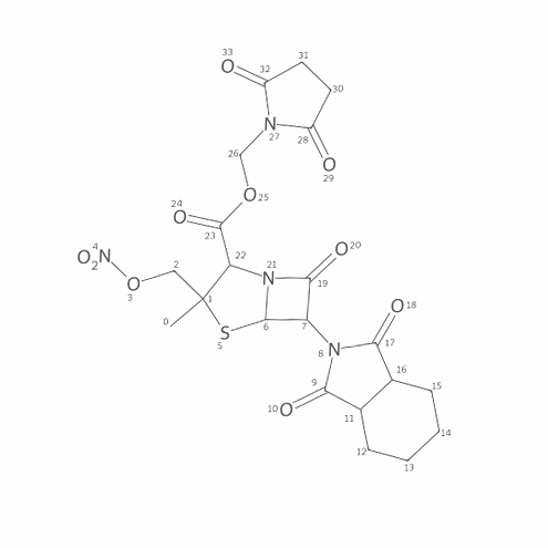 CC1(CO[N+](=O)[O-])SC2C(N3C(=O)C4CCCCC4C3=O)C(=O)N2C1C(=O)OCN1C(=O)CCC1=O